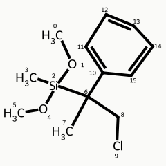 CO[Si](C)(OC)C(C)(CCl)c1ccccc1